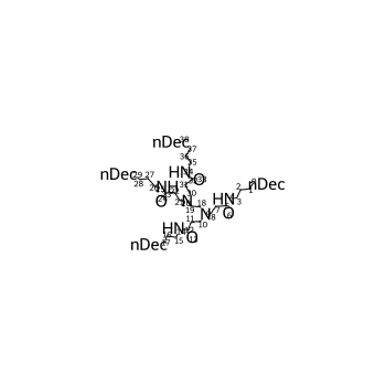 CCCCCCCCCCCCCNC(=O)CCN(CCC(=O)NCCCCCCCCCCCC)CCN(CCC(=O)NCCCCCCCCCCCCC)CCC(=O)NCCCCCCCCCCCCC